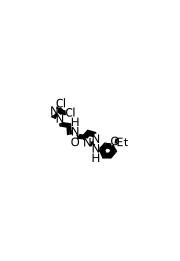 CCOc1cccc(Nc2nccc(C(=O)NCCCn3cnc(Cl)c3Cl)n2)c1